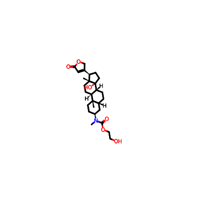 CN(C(=O)OCCO)[C@H]1CC[C@@]2(C)[C@H](CC[C@@H]3[C@@H]2CC[C@]2(C)[C@@H](C4=CC(=O)OC4)CC[C@]32O)C1